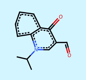 CC(C)n1cc(C=O)c(=O)c2ccccc21